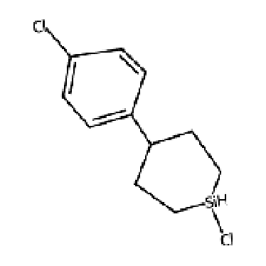 Clc1ccc(C2CC[SiH](Cl)CC2)cc1